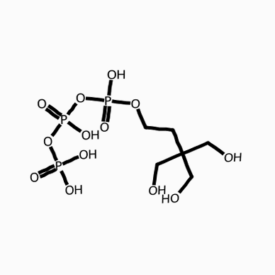 O=P(O)(O)OP(=O)(O)OP(=O)(O)OCCC(CO)(CO)CO